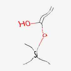 C=C(O)O[Si](C)(C)C